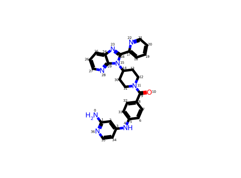 Nc1cc(Nc2ccc(C(=O)N3CCC(n4c(-c5ccccn5)nc5cccnc54)CC3)cc2)ccn1